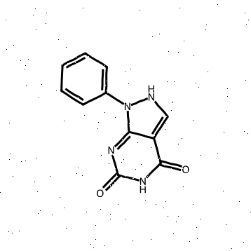 O=c1nc2n(-c3ccccc3)[nH]cc-2c(=O)[nH]1